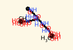 C[C@@H]1O[C@@H](OCCNC(=O)CCCCC(=O)NCCCC[C@H](NC(=O)CCCCC(=O)NCCO[C@@H]2O[C@@H](C)[C@@H](O)[C@@H](O)[C@@H]2O)C(=O)NCCCCCC(=O)Nc2ccccc2)[C@@H](O)[C@H](O)[C@@H]1O